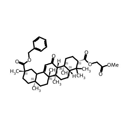 COC(=O)COC(=O)[C@H]1CC[C@]2(C)[C@H]3C(=O)C=C4C5C[C@@](C)(C(=O)OCc6ccccc6)CC[C@]5(C)CC[C@@]4(C)[C@]3(C)CC[C@H]2C1(C)C